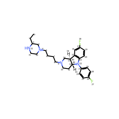 CCC1CN(CCCCN2CC[C@@H]3[C@@H](C2)c2cc(F)ccc2N3c2ccc(F)cc2)CCN1